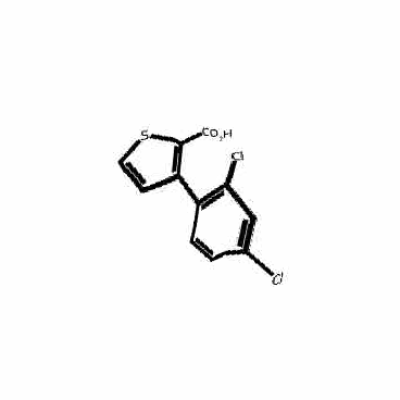 O=C(O)c1sccc1-c1ccc(Cl)cc1Cl